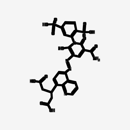 NC(=O)c1cc(N=Nc2ccc(C(CC(=O)O)CC(=O)O)c3ncccc23)c(O)n(-c2cc(S(=O)(=O)O)ccc2S(=O)(=O)O)c1=O